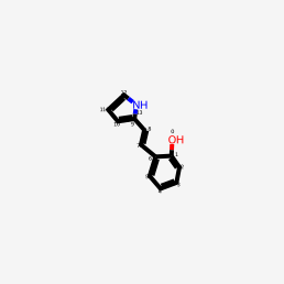 Oc1ccccc1C=Cc1ccc[nH]1